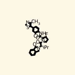 Cc1cc(-c2scnc2C)ccc1NC(=O)[C@@H]1[C@@H](F)CCN1C(=O)[C@H](C(C)C)N1Cc2ccccc2C1=O